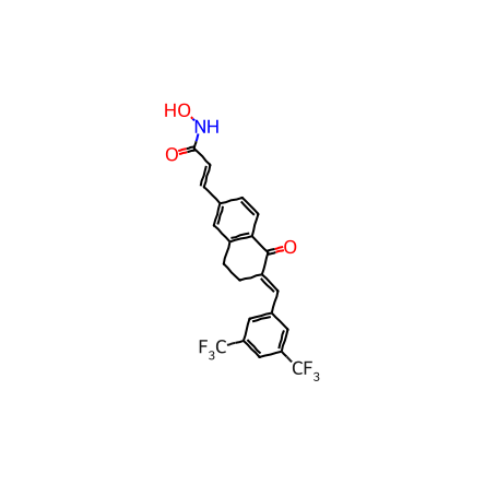 O=C(/C=C/c1ccc2c(c1)CC/C(=C\c1cc(C(F)(F)F)cc(C(F)(F)F)c1)C2=O)NO